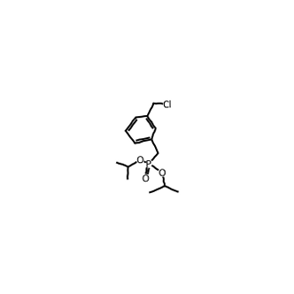 CC(C)OP(=O)(Cc1cccc(CCl)c1)OC(C)C